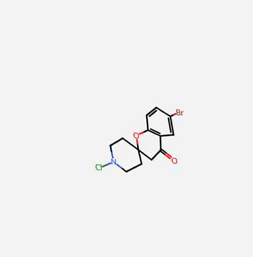 O=C1CC2(CCN(Cl)CC2)Oc2ccc(Br)cc21